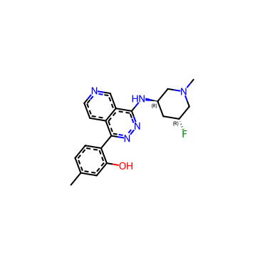 Cc1ccc(-c2nnc(N[C@@H]3C[C@@H](F)CN(C)C3)c3cnccc23)c(O)c1